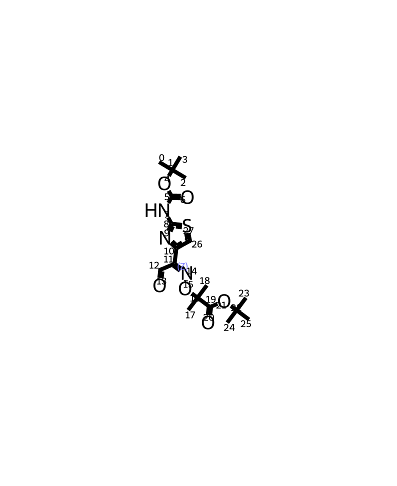 CC(C)(C)OC(=O)Nc1nc(/C(C=O)=N/OC(C)(C)C(=O)OC(C)(C)C)cs1